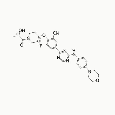 C[C@H](O)C(=O)N1CC[C@H](Oc2ccc(-c3ncnc(Nc4ccc(N5CCOCC5)cc4)n3)cc2C#N)[C@H](F)C1